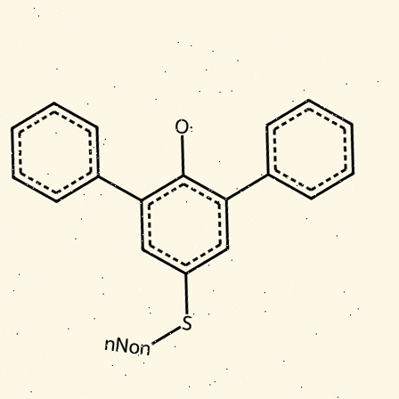 CCCCCCCCCSc1cc(-c2ccccc2)c([O])c(-c2ccccc2)c1